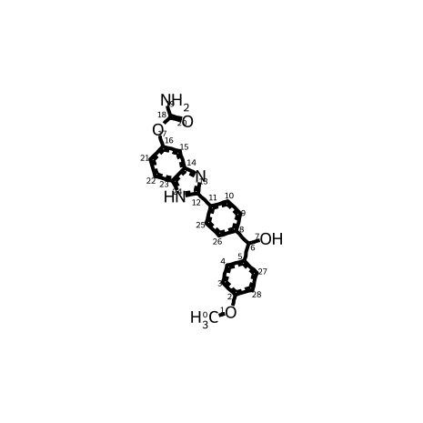 COc1ccc(C(O)c2ccc(-c3nc4cc(OC(N)=O)ccc4[nH]3)cc2)cc1